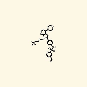 C=Cc1ccnc(S(=O)(=O)Nc2ccc(-c3cc4c(N5CCOCC5)ncnc4n3COCC[Si](C)(C)C)cc2)c1